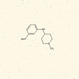 COc1[c]ccc(NC2CCN(C)CC2)c1